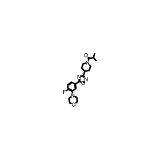 CC(C)C(=O)N1CCC(c2noc(-c3ccc(F)c(N4CCOCC4)c3)n2)CC1